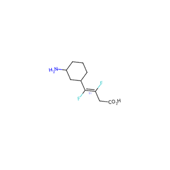 NC1CCCC(/C(F)=C(\F)CC(=O)O)C1